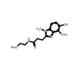 COCCNC(=O)CCc1nc2c(C=O)c(O)ccc2n1C